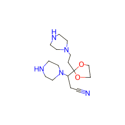 N#CCC(N1CCNCC1)C1(CCN2CCNCC2)OCCO1